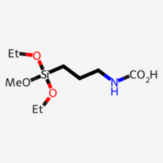 CCO[Si](CCCNC(=O)O)(OC)OCC